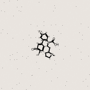 CN1CCCC1CCN(C(=O)O)c1ccc(F)cc1-c1ccc(F)c(Cl)c1